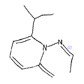 C=C1C=CC=C(C(C)C)N1/N=C\C